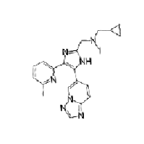 Cc1cccc(-c2nc(CN(I)CC3CC3)[nH]c2-c2ccc3ncnn3c2)n1